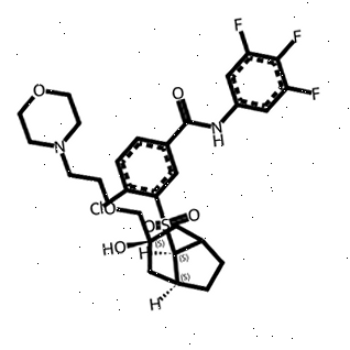 O=C(Nc1cc(F)c(F)c(F)c1)c1ccc(Cl)c(S(=O)(=O)[C@H]2C3CC[C@H]2C[C@](O)(COCCN2CCOCC2)C3)c1